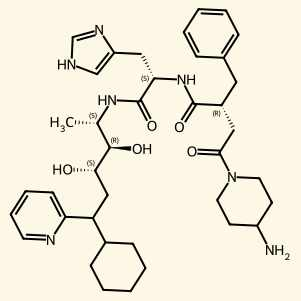 C[C@H](NC(=O)[C@H](Cc1c[nH]cn1)NC(=O)[C@@H](CC(=O)N1CCC(N)CC1)Cc1ccccc1)[C@@H](O)[C@@H](O)CC(c1ccccn1)C1CCCCC1